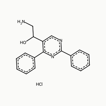 Cl.NCC(O)c1cnc(-c2ccccc2)nc1-c1ccccc1